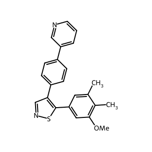 COc1cc(-c2sncc2-c2ccc(-c3cccnc3)cc2)cc(C)c1C